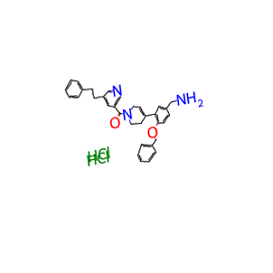 Cl.Cl.NCc1ccc(OCc2ccccc2)c(C2=CCN(C(=O)c3cncc(CCc4ccccc4)c3)CC2)c1